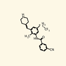 CC(F)(F)F.Cc1c(C=C2CCNCC2)cc(F)cc1NC(=O)c1cccc(C#N)c1